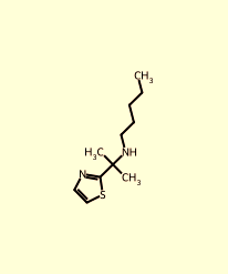 CCCCCNC(C)(C)c1nccs1